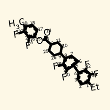 CCc1ccc(-c2ccc(C3CCC(C(=O)Oc4ccc(C)c(F)c4F)CC3)c(F)c2F)c(F)c1F